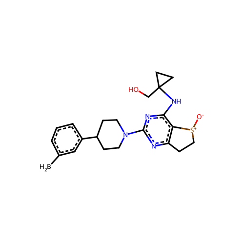 Bc1cccc(C2CCN(c3nc4c(c(NC5(CO)CC5)n3)[S+]([O-])CC4)CC2)c1